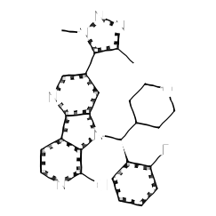 Cc1nnn(C)c1-c1cnc2c3ccnc(Cl)c3n([C@H](c3ccccc3F)C3CCOCC3)c2c1